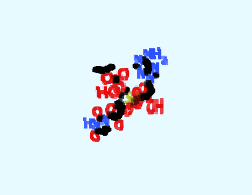 COC1C(O[P@](=O)(O[C@H]2O[C@@H](n3cnc4c(N)ncnc43)CC2O)SCOC(=O)OC(C)C)[C@@H](CO)O[C@H]1n1ccc(=O)[nH]c1=O